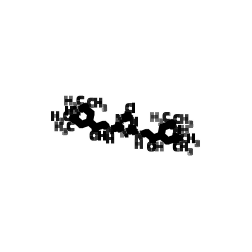 CC1(C)CC(C(O)CNc2nc(Cl)nc(NCC(O)C3CC(C)(C)NC(C)(C)C3)n2)CC(C)(C)N1